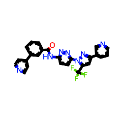 O=C(Nc1ccc(-n2nc(-c3cccnc3)cc2C(F)(F)F)nn1)c1cccc(-c2ccncc2)c1